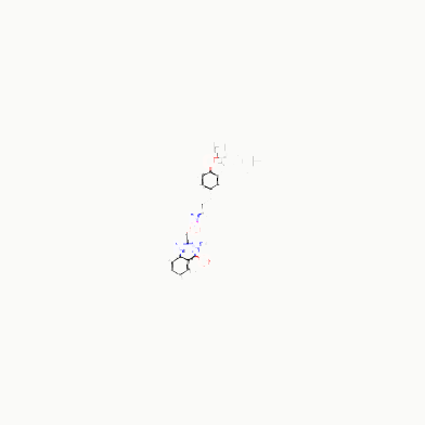 CCC(Oc1ccc(CCC=NOCc2nc3ccccc3c(=O)n2C)cc1)C(=O)O